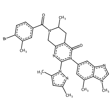 Cc1cc(C)n(-c2nc3c(c(=O)n2-c2cc(C)c4c(c2)ncn4C)CC(C)N(C(=O)c2ccc(Br)c(C)c2)C3)n1